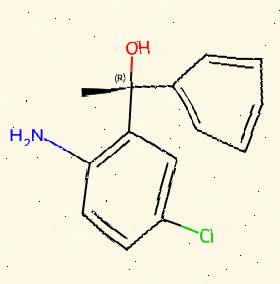 C[C@@](O)(c1ccccc1)c1cc(Cl)ccc1N